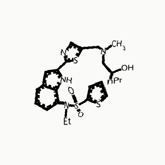 CCCC(O)CN(C)Cc1cnc(-c2cc3cccc(N(CC)S(=O)(=O)c4cccs4)c3[nH]2)s1